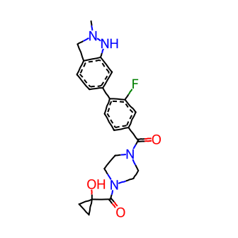 CN1Cc2ccc(-c3ccc(C(=O)N4CCN(C(=O)C5(O)CC5)CC4)cc3F)cc2N1